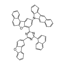 c1ccc2cc3c(cc2c1)c1ccccc1n3-c1cc(-c2nc(-c3ccc4oc5ccccc5c4c3)nc(-c3cccc4ccccc34)n2)c2oc3ccc4ccccc4c3c2c1